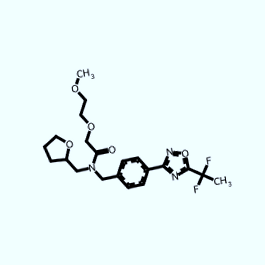 COCCOCC(=O)N(Cc1ccc(-c2noc(C(C)(F)F)n2)cc1)CC1CCCO1